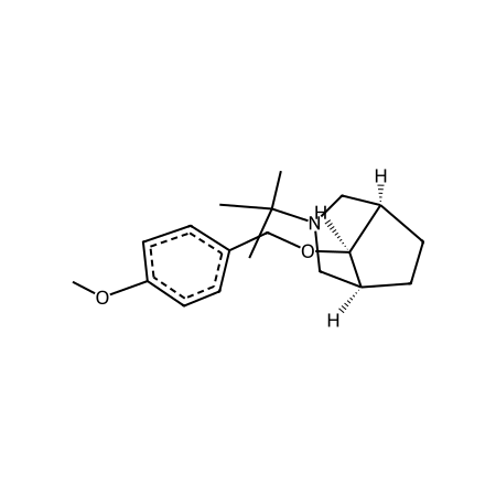 COc1ccc(CO[C@H]2[C@@H]3CC[C@H]2CN(C(C)(C)C)C3)cc1